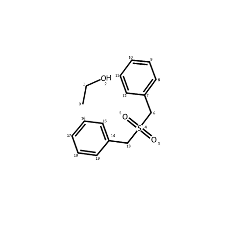 CCO.O=S(=O)(Cc1ccccc1)Cc1ccccc1